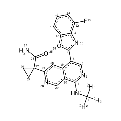 [2H]C([2H])([2H])Nc1ncc(-c2nc3c(F)cccc3o2)c2cc(C3(C(N)=O)CC3)ncc12